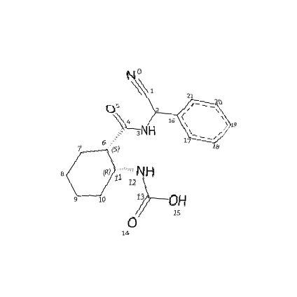 N#CC(NC(=O)[C@H]1CCCC[C@H]1NC(=O)O)c1ccccc1